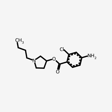 CCCCN1CCC(OC(=O)c2ccc(N)cc2Cl)C1